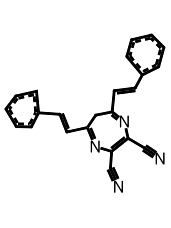 N#CC1=C(C#N)N=C(C=Cc2ccccc2)CC(C=Cc2ccccc2)=N1